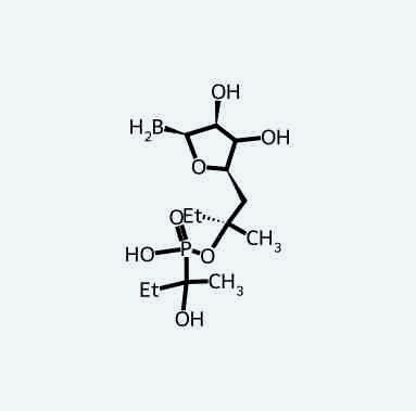 B[C@@H]1O[C@H](C[C@](C)(CC)OP(=O)(O)C(C)(O)CC)C(O)[C@@H]1O